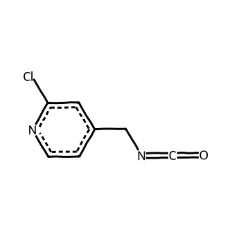 O=C=NCc1ccnc(Cl)c1